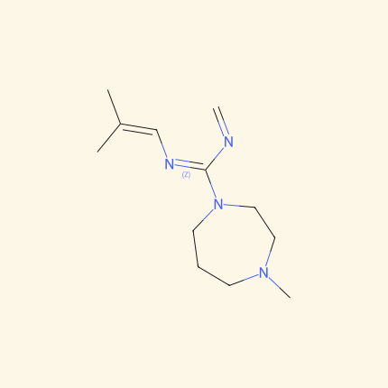 C=N/C(=N\C=C(C)C)N1CCCN(C)CC1